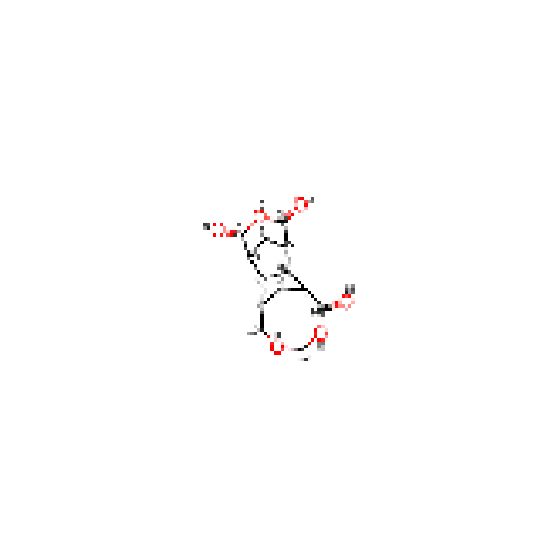 O=C1OC(=O)C2CC1C1C3COCOC(=O)C(C3)C21